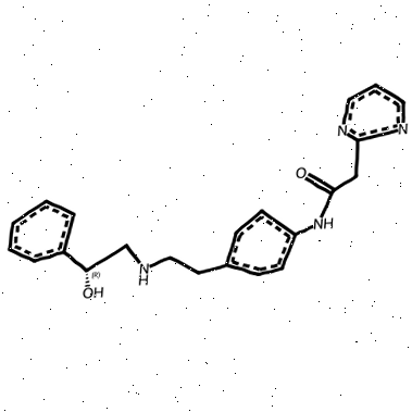 O=C(Cc1ncccn1)Nc1ccc(CCNC[C@H](O)c2ccccc2)cc1